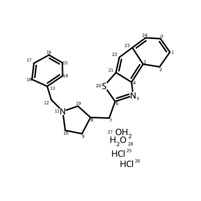 C1=CCC2=c3nc(CC4CCN(Cc5ccccc5)C4)sc3=CC2=C1.Cl.Cl.O.O